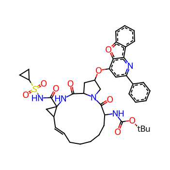 CC(C)(C)OC(=O)NC1CCCCC/C=C/C2CC2(C(=O)NS(=O)(=O)C2CC2)NC(=O)C2CC(Oc3cc(-c4ccccc4)nc4c3oc3ccccc34)CN2C1=O